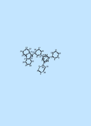 C1=CC[C@@H](c2nc(-c3ccccc3)nc(-c3cccc(-n4c5ccccc5c5ccccc54)c3)n2)C=C1